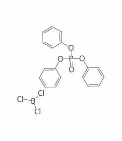 ClB(Cl)Cl.O=P(Oc1ccccc1)(Oc1ccccc1)Oc1ccccc1